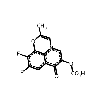 CC1=Cn2cc(OC(=O)O)c(=O)c3cc(F)c(F)c(c32)O1